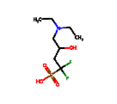 CCN(CC)CC(O)CC(F)(F)S(=O)(=O)O